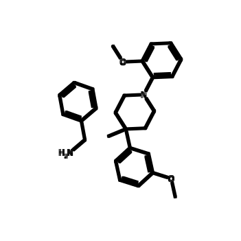 COc1cccc(C2(C)CCN(c3ccccc3OC)CC2)c1.NCc1ccccc1